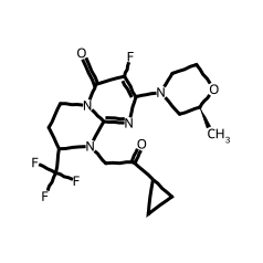 C[C@H]1CN(c2nc3n(c(=O)c2F)CCC(C(F)(F)F)N3CC(=O)C2CC2)CCO1